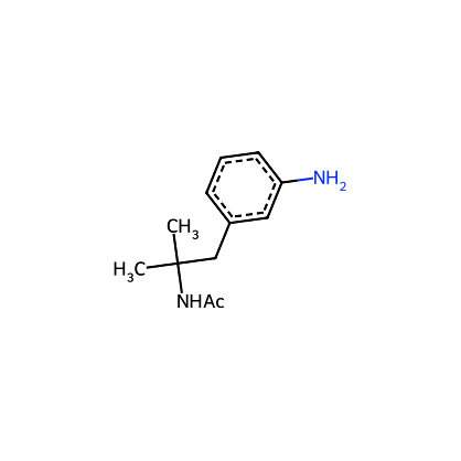 CC(=O)NC(C)(C)Cc1cccc(N)c1